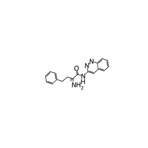 N[C@H](CCc1ccccc1)C(=O)Nc1cc2ccccc2nn1